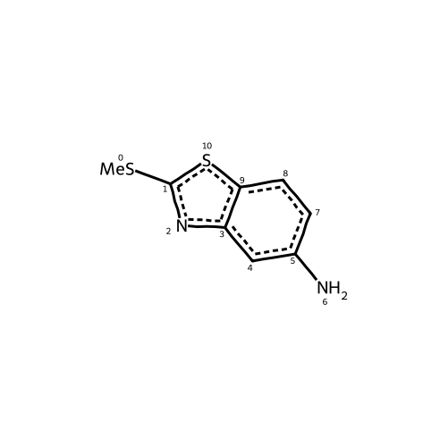 CSc1nc2cc(N)ccc2s1